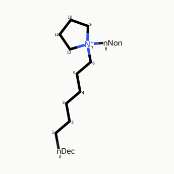 CCCCCCCCCCCCCCCC[N+]1(CCCCCCCCC)CCCC1